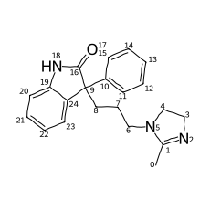 CC1=NCCN1CCCC1(c2ccccc2)C(=O)Nc2ccccc21